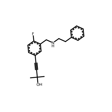 CC(C)(O)C#Cc1ccc(F)c(CNCCc2ccccc2)c1